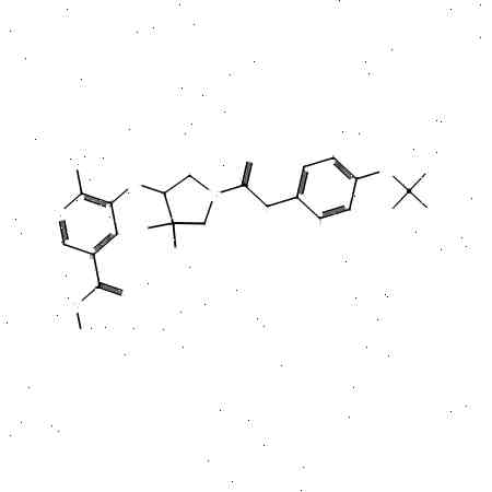 CNC(=O)c1cnc(N)c(OC2CN(C(=O)Cc3ccc(OC(F)(F)F)cc3)CC2(F)F)c1